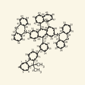 CC1(C)c2ccccc2-c2ccc(-c3cccc(-c4c5cc(N6c7ccccc7Sc7ccccc76)ccc5c(-c5cccc6ccccc56)c5cc(N6c7ccccc7Sc7ccccc76)ccc45)c3)cc21